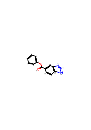 O=C(Oc1ccccc1)c1[c]c2nn[nH]c2cc1